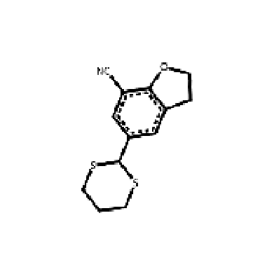 N#Cc1cc(C2SCCCS2)cc2c1OCC2